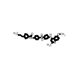 CCCCc1ccc(C(=O)Nc2ccc(S(=O)(=O)c3ccc(Nc4cc(C)nc5ccc(OC)cc45)cc3)cc2)cc1